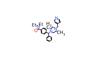 CCN(CC)C(=O)c1ccc([C@H](c2ccccc2)N2C[C@@H](C)N(Cc3ccncc3)C[C@@H]2C)cc1